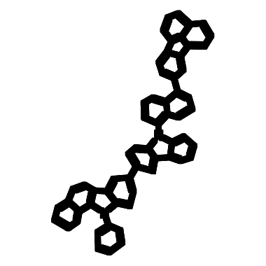 c1ccc(-n2c3ccc(-c4ccc5c(c4)c4ccccc4n5-c4cccc5c(-c6ccc7c(c6)-c6cccc8cccc-7c68)cccc45)cc3c3ccc4ccccc4c32)cc1